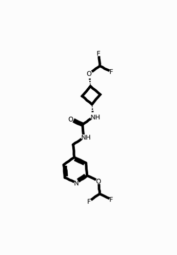 O=C(NCc1ccnc(OC(F)F)c1)N[C@H]1C[C@@H](OC(F)F)C1